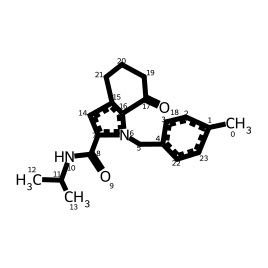 Cc1ccc(Cn2c(C(=O)NC(C)C)cc3c2C(=O)CCC3)cc1